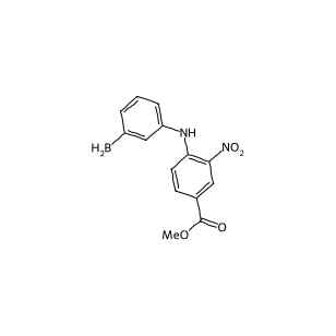 Bc1cccc(Nc2ccc(C(=O)OC)cc2[N+](=O)[O-])c1